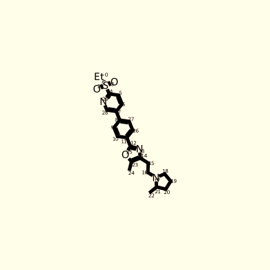 CCS(=O)(=O)c1ccc(-c2ccc(-c3nc(CCN4CCCC4C)c(C)o3)cc2)cn1